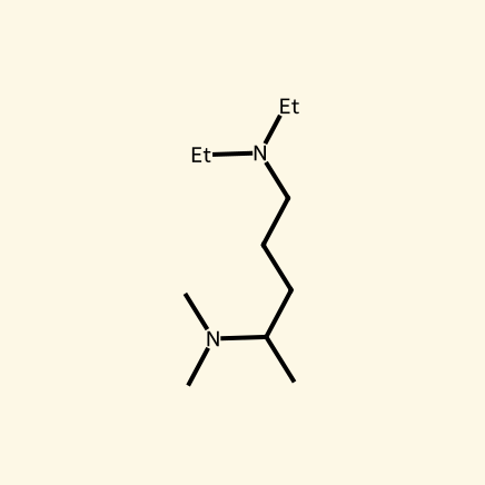 CCN(CC)CCCC(C)N(C)C